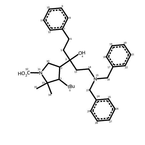 CC(C)(C)C1C(C(O)(CCc2ccccc2)CCN(Cc2ccccc2)Cc2ccccc2)CN(C(=O)O)C1(C)C